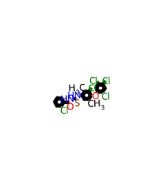 Cc1cc(NC(=S)NC(=O)c2ccccc2Cl)c(C)c(Cl)c1Oc1cc(Cl)c(Cl)cc1Cl